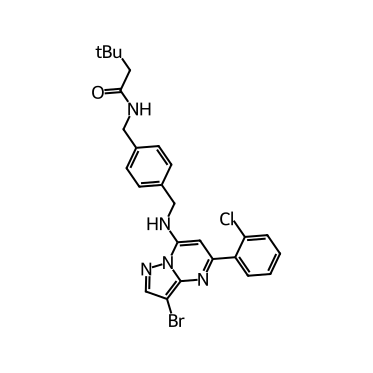 CC(C)(C)CC(=O)NCc1ccc(CNc2cc(-c3ccccc3Cl)nc3c(Br)cnn23)cc1